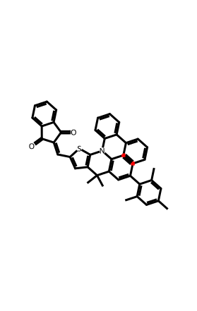 Cc1cc(C)c(-c2ccc3c(c2)C(C)(C)c2cc(C=C4C(=O)c5ccccc5C4=O)sc2N3c2ccccc2-c2ccccc2)c(C)c1